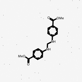 COC(=O)c1ccc(NCNc2ccc(C(=O)OC)cc2)cc1